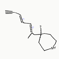 C#C/C=C/C=C(\C)C1(F)CCNCC1